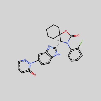 O=C1OC2(CCCCC2)[C@@H](c2nc3cc(-n4ncccc4=O)ccc3[nH]2)N1c1ccccc1F